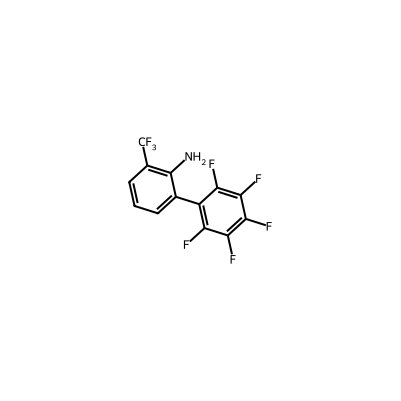 Nc1c(-c2c(F)c(F)c(F)c(F)c2F)cccc1C(F)(F)F